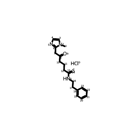 Cl.Cn1ccnc1CC(=O)CCCC(=S)NCCc1ccccc1